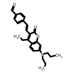 CCCN(CCC)c1ccc2c(CC)c(/C=C/c3ccc(C=O)cc3)c(=O)oc2c1